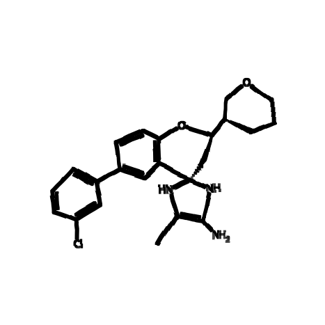 CC1=C(N)N[C@@]2(C[C@H]([C@@H]3CCCOC3)Oc3ccc(-c4cccc(Cl)c4)cc32)N1